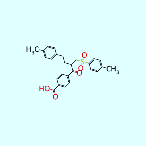 Cc1ccc(CCC(CS(=O)(=O)c2ccc(C)cc2)C(=O)c2ccc(C(=O)O)cc2)cc1